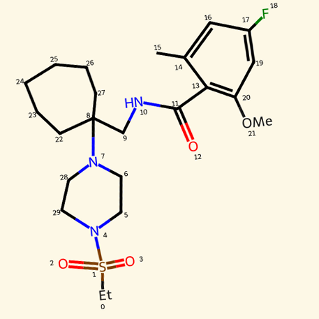 CCS(=O)(=O)N1CCN(C2(CNC(=O)c3c(C)cc(F)cc3OC)CCCCCC2)CC1